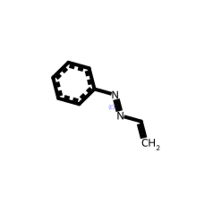 C=C/N=N/c1ccccc1